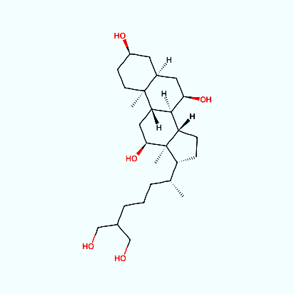 C[C@H](CCCC(CO)CO)[C@H]1CC[C@H]2[C@@H]3[C@H](O)C[C@@H]4C[C@H](O)CC[C@]4(C)[C@H]3C[C@H](O)[C@]12C